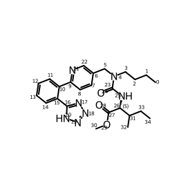 CCCCN(Cc1ccc(-c2ccccc2-c2nnn[nH]2)nc1)C(=O)N[C@H](C(=O)OC)C(C)CC